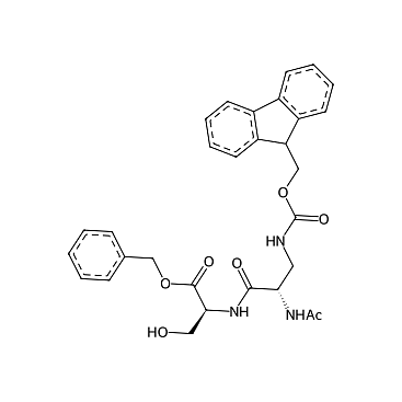 CC(=O)N[C@@H](CNC(=O)OCC1c2ccccc2-c2ccccc21)C(=O)N[C@@H](CO)C(=O)OCc1ccccc1